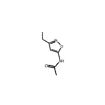 CCc1cc(NC(C)=O)on1